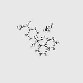 CC(N)C1CCN(S(=O)(=O)c2cccc3cnccc23)CC1.Cl.Cl